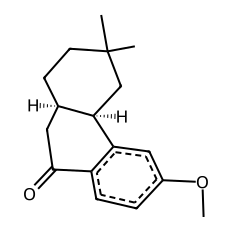 COc1ccc2c(c1)[C@@H]1CC(C)(C)CC[C@@H]1CC2=O